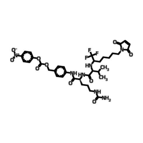 CC(C)C(NC(CCCCCN1C(=O)C=CC1=O)C(F)(F)F)C(=O)N[C@@H](CCCNC(N)=O)C(=O)Nc1ccc(COC(=O)Oc2ccc([N+](=O)[O-])cc2)cc1